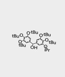 CC(C)Oc1cc(C(O)c2cc(OC(C)(C)C)c(OC(C)(C)C)c(OC(C)(C)C)c2)cc(OC(C)(C)C)c1OC(C)(C)C